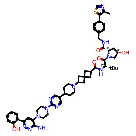 Cc1ncsc1-c1ccc(CNC(=O)[C@@H]2C[C@@H](O)CN2C(=O)[C@@H](NC(=O)C2CC3(C2)CC(N2CCC(c4cnc(N5CCN(c6cc(-c7ccccc7O)nnc6N)CC5)nc4)CC2)C3)C(C)(C)C)cc1